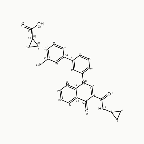 O=C(NC1CC1)c1cn(-c2cccc(-c3ccc([C@@H]4C[C@H]4C(=O)O)c(F)c3)c2)c2ncccc2c1=O